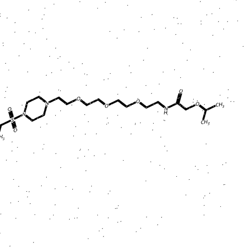 CCS(=O)(=O)N1CCN(CCOCCOCCOCCNC(=O)COC(C)C)CC1